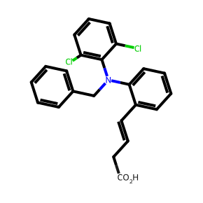 O=C(O)CC=Cc1ccccc1N(Cc1ccccc1)c1c(Cl)cccc1Cl